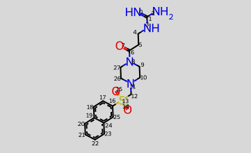 N=C(N)NCCC(=O)N1CCN(CS(=O)(=O)c2ccc3ccccc3c2)CC1